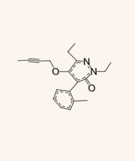 CC#CCOc1c(CC)nn(CC)c(=O)c1-c1ccccc1C